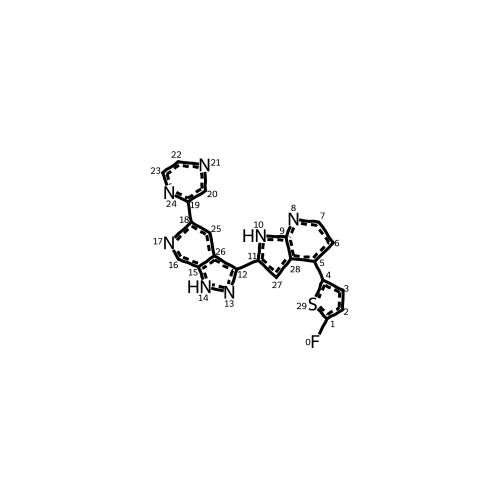 Fc1ccc(-c2ccnc3[nH]c(-c4n[nH]c5cnc(-c6cnccn6)cc45)cc23)s1